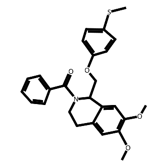 COc1cc2c(cc1OC)C(COc1ccc(SC)cc1)N(C(=O)c1ccccc1)CC2